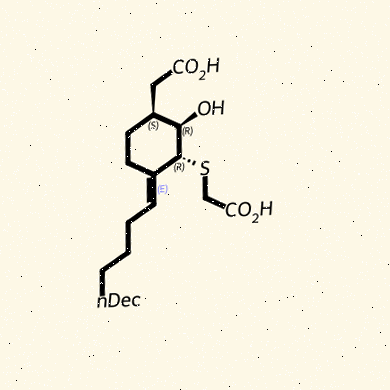 CCCCCCCCCCCCC/C=C1\CC[C@@H](CC(=O)O)[C@@H](O)[C@@H]1SCC(=O)O